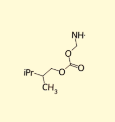 CC(C)C(C)COC(=O)OC[NH]